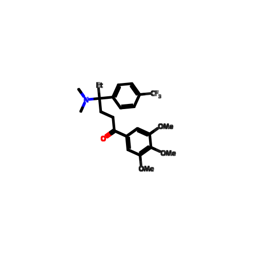 CCC(CCC(=O)c1cc(OC)c(OC)c(OC)c1)(c1ccc(C(F)(F)F)cc1)N(C)C